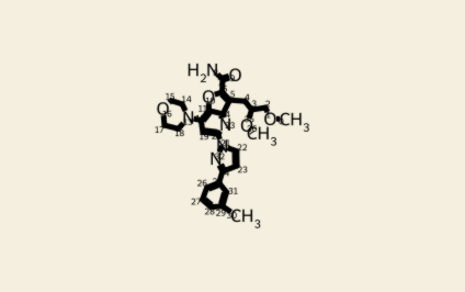 COCC(Cc1c(C(N)=O)oc2c(N3CCOCC3)cc(-n3ccc(-c4cccc(C)c4)n3)nc12)OC